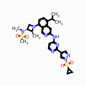 CC(C)c1ccc(N2C[C@@H](N(C)S(C)(=O)=O)[C@@H]2C)c2cnc(Nc3ccnc(-c4cnn(S(=O)(=O)C5CC5)c4)n3)cc12